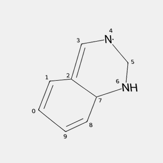 C1=CC2=C[N]CNC2C=C1